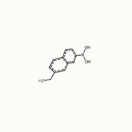 CCc1ccc2ccc(N(O)O)cc2c1